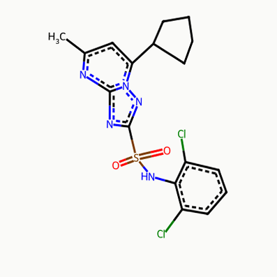 Cc1cc(C2CCCC2)n2nc(S(=O)(=O)Nc3c(Cl)cccc3Cl)nc2n1